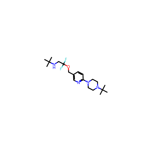 CC(C)(C)NCC(F)(F)OCc1ccc(N2CCN(C(C)(C)C)CC2)nc1